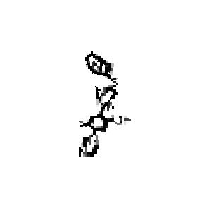 Oc1cc(-n2ccnc2)c(F)cc1-c1ncc(SC2CC3CCC(C2)N3)nn1